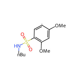 CCCCNS(=O)(=O)c1c[c]c(OC)cc1OC